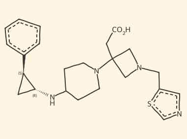 O=C(O)CC1(N2CCC(N[C@@H]3C[C@H]3c3ccccc3)CC2)CN(Cc2cncs2)C1